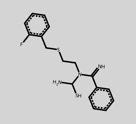 N=C(c1ccccc1)N(CCSCc1ccccc1F)C(N)S